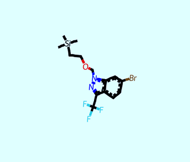 C[Si](C)(C)CCOCn1nc(C(F)(F)F)c2ccc(Br)cc21